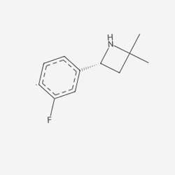 CC1(C)C[C@H](c2cc[c]c(F)c2)N1